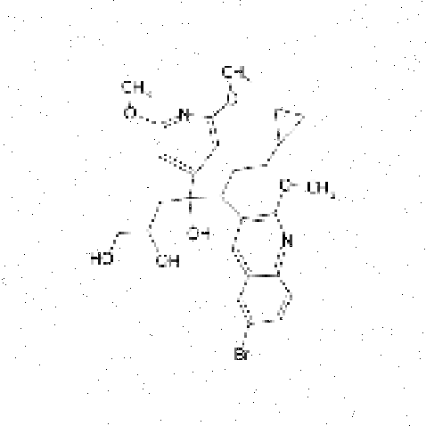 COc1cc(C(O)(CC(O)CO)C(CCC2CC2)c2cc3cc(Br)ccc3nc2OC)cc(OC)n1